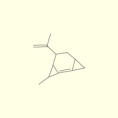 C=C(C)C1CC2CC2=C2C(C)C21